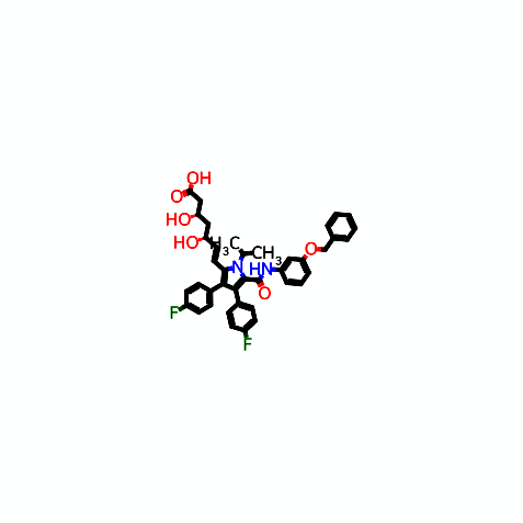 CC(C)n1c(C=C[C@@H](O)C[C@@H](O)CC(=O)O)c(-c2ccc(F)cc2)c(-c2ccc(F)cc2)c1C(=O)Nc1cccc(OCc2ccccc2)c1